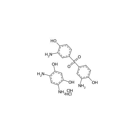 Cl.Cl.Nc1cc(N)c(O)cc1O.Nc1cc(S(=O)(=O)c2ccc(O)c(N)c2)ccc1O